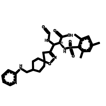 Cc1cc(C)c(S(=O)(=O)N[C@H](C(=O)O)C(NC=O)C2=NOC3(CCC(CNc4ccccn4)CC3)C2)c(C)c1